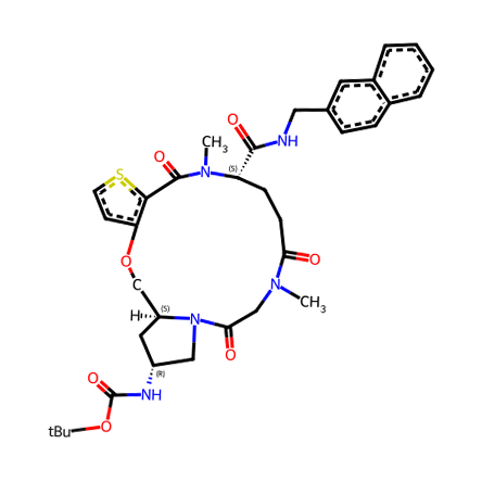 CN1CC(=O)N2C[C@H](NC(=O)OC(C)(C)C)C[C@H]2COc2ccsc2C(=O)N(C)[C@H](C(=O)NCc2ccc3ccccc3c2)CCC1=O